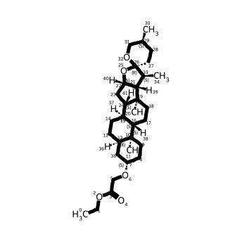 CCOC(=O)CO[C@H]1CC[C@@]2(C)[C@H](CC[C@@H]3[C@@H]2CC[C@]2(C)[C@@H]4[C@H](C[C@@H]32)O[C@]2(CC[C@H](C)CO2)[C@H]4C)C1